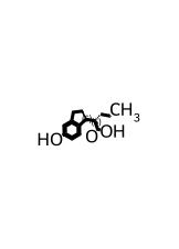 CCC[C@H](C(=O)O)[C@@H]1CCc2cc(O)ccc21